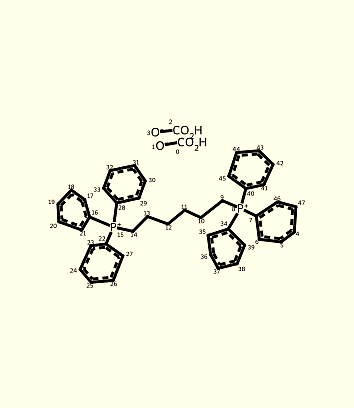 O=C([O-])O.O=C([O-])O.c1ccc([P+](CCCCCC[P+](c2ccccc2)(c2ccccc2)c2ccccc2)(c2ccccc2)c2ccccc2)cc1